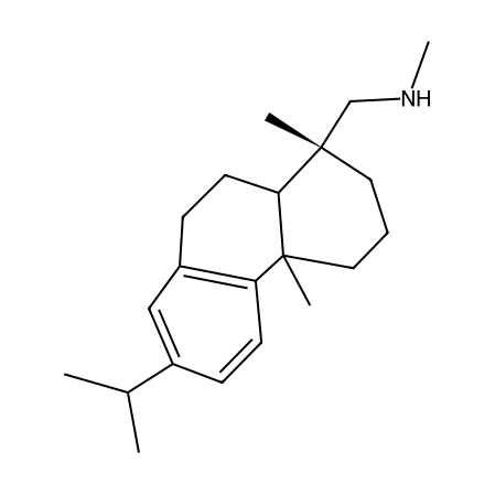 CNC[C@]1(C)CCCC2(C)c3ccc(C(C)C)cc3CCC21